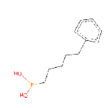 OP(O)CCCCCc1ccccc1